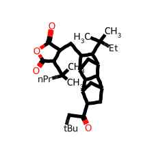 CCCC(C)(C)C1C(=O)OC(=O)C1CC1C2CC(C3C4CC(C(=O)CC(C)(C)C)C(C4)C23)C1C(C)(C)CC